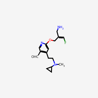 CN(CCc1cc(OC/C(=C\F)CN)ncc1C=O)C1CC1